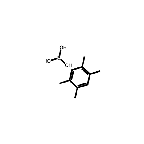 Cc1cc(C)c(C)cc1C.OB(O)O